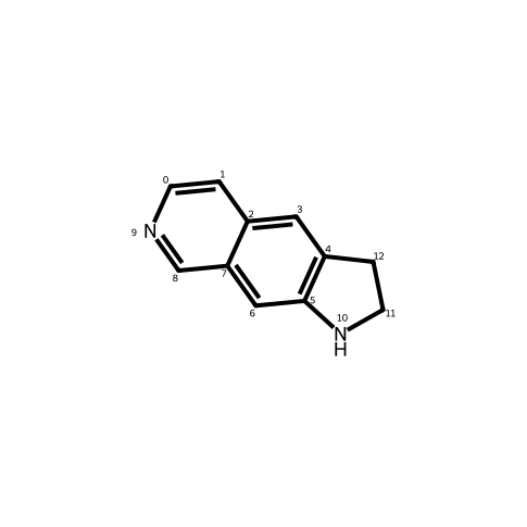 c1cc2cc3c(cc2cn1)NCC3